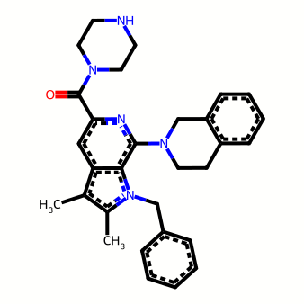 Cc1c(C)n(Cc2ccccc2)c2c(N3CCc4ccccc4C3)nc(C(=O)N3CCNCC3)cc12